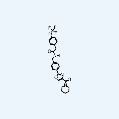 O=C(Cc1ccc(OC(F)(F)F)cc1)NCc1ccc(-c2nc(C(=O)N3CCCCC3)co2)cc1